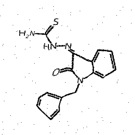 NC(=S)NN=C1C(=O)N(Cc2ccccc2)c2ccccc21